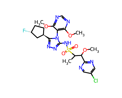 COc1ncnc(OC)c1-n1c(NS(=O)(=O)C(C)C(OC)c2ncc(Cl)cn2)nnc1[C@@H]1CC[C@@H](F)C1